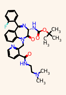 CN(C)CCNC(=O)c1cccnc1CN1C(=O)[C@@H](NC(=O)OC(C)(C)C)N=C(c2ccccc2F)c2ccccc21